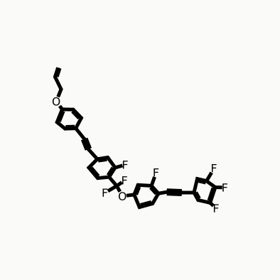 C=CCOc1ccc(C#Cc2ccc(C(F)(F)Oc3ccc(C#Cc4cc(F)c(F)c(F)c4)c(F)c3)c(F)c2)cc1